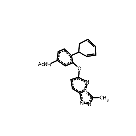 CC(=O)Nc1ccc(C2C=CC=CC2)c(Oc2ccc3nnc(C)n3n2)c1